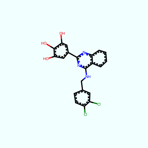 Oc1cc(-c2nc(NCc3ccc(Cl)c(Cl)c3)c3ccccc3n2)cc(O)c1O